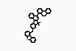 CC1(C)c2cc(Cc3cccc4oc5ccccc5c34)ccc2-c2c1cc(-c1cccc3c1CCc1ccccc1-3)c1ccccc21